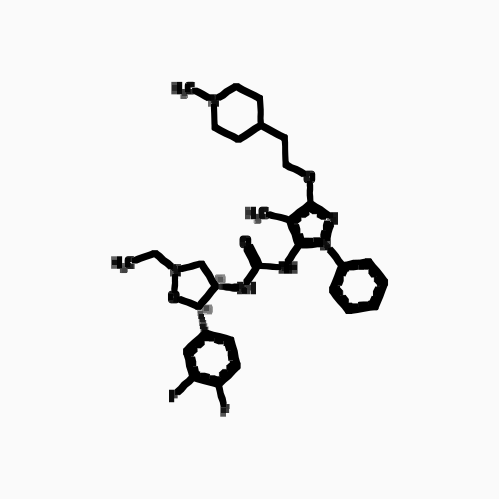 CCN1C[C@@H](NC(=O)Nc2c(C)c(OCCC3CCN(C)CC3)nn2-c2ccccc2)[C@H](c2ccc(F)c(F)c2)O1